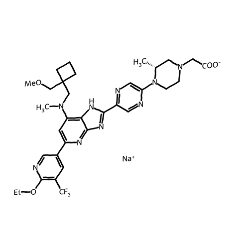 CCOc1ncc(-c2cc(N(C)CC3(COC)CCC3)c3[nH]c(-c4cnc(N5CCN(CC(=O)[O-])C[C@H]5C)cn4)nc3n2)cc1C(F)(F)F.[Na+]